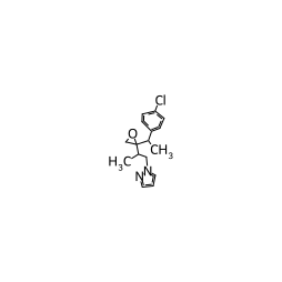 CC(Cn1cccn1)C1(C(C)c2ccc(Cl)cc2)CO1